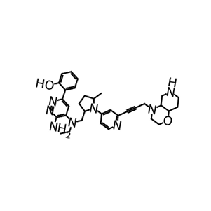 CCN(CC1CCC(C)N1c1ccnc(C#CCN2CCOC3CCNCC32)c1)c1cc(-c2ccccc2O)nnc1N